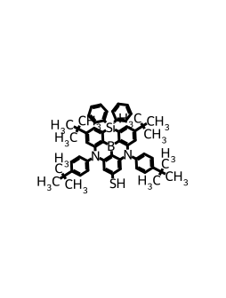 CC(C)(C)c1ccc(N2c3cc(S)cc4c3B3c5c2cc(C(C)(C)C)cc5[Si](c2ccccc2)(c2ccccc2)c2cc(C(C)(C)C)cc(c23)N4c2ccc(C(C)(C)C)cc2)cc1